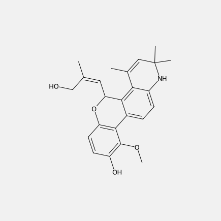 COc1c(O)ccc2c1-c1ccc3c(c1C(C=C(C)CO)O2)C(C)=CC(C)(C)N3